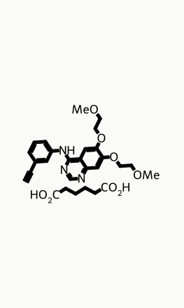 C#Cc1cccc(Nc2ncnc3cc(OCCOC)c(OCCOC)cc23)c1.O=C(O)CCCCC(=O)O